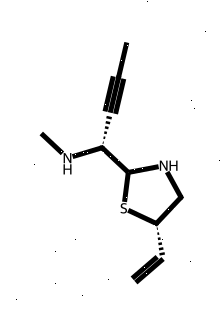 C=C[C@H]1CNC([C@@H](C#CC)NC)S1